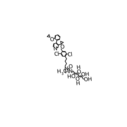 CN(CCCCc1cc(Cl)c(COC2(c3cnccc3-c3ccccc3OC3CC3)CC2)cc1Cl)C(=O)NC[C@@H](O)[C@H](O)[C@@H](O)[C@@H](O)CO